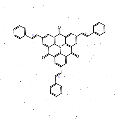 O=c1c2cc(/C=C/c3ccccc3)cc3c(=O)c4cc(/C=C/c5ccccc5)cc5c(=O)c6cc(/C=C/c7ccccc7)cc1c6n(c23)c45